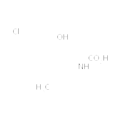 C[C@@H](NC(=O)O)[C@@H](O)CCl